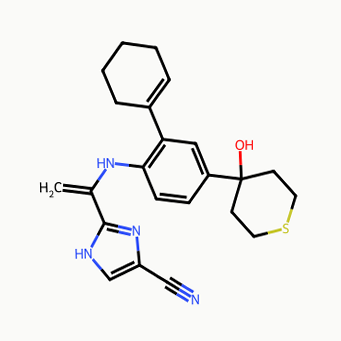 C=C(Nc1ccc(C2(O)CCSCC2)cc1C1=CCCCC1)c1nc(C#N)c[nH]1